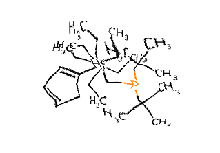 C[CH2][Hf]([CH2]C)([CH2]C)([CH2]C)([CH2]C)([CH2]C)([CH2]P(C(C)(C)C)C(C)(C)C)[C]1=CC=CC1